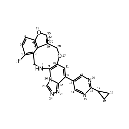 Fc1ccc2c3c1CNc1c(cc(-c4cnc(C5CC5)nc4)c4nncn14)OC[C@@H]3CO2